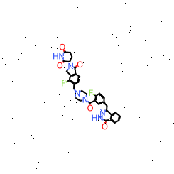 O=C1CCC(N2Cc3c(ccc(CN4CCN(C(=O)c5cc(Cc6n[nH]c(=O)c7ccccc67)ccc5F)CC4)c3F)C2=O)C(=O)N1